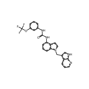 O=C(Nc1cccc(OC(F)(F)F)c1)Nc1cccc2c1ccn2Cc1c[nH]c2ncccc12